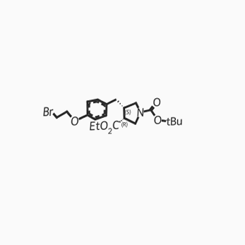 CCOC(=O)[C@H]1CN(C(=O)OC(C)(C)C)C[C@H]1Cc1ccc(OCCBr)cc1